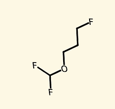 FCCCOC(F)F